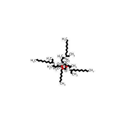 C=C(CC(=O)OC(OC(=O)CC(=C)SC(CC)CCCCCCCCC)(OC(=O)CC(=C)SC(CC)CCCCCCCCC)OC(=O)CC(=C)SC(CC)CCCCCCCCC)SC(CC)CCCCCCCCC